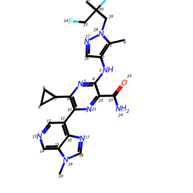 Cc1c(Nc2nc(C3CC3)c(-c3cncc4c3ncn4C)nc2C(N)=O)cnn1CC(C)(F)CF